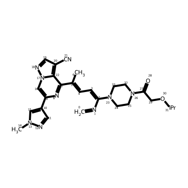 C=N/C(=C\C=C(/C)c1nc(-c2cnn(C)c2)cn2ncc(C#N)c12)N1CCN(C(=O)COC(C)C)CC1